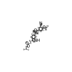 CC(C)COC(=O)CCc1c[nH]c2cc(-c3noc(-c4ccc(OC(C)C)c(C#N)c4)n3)ccc12